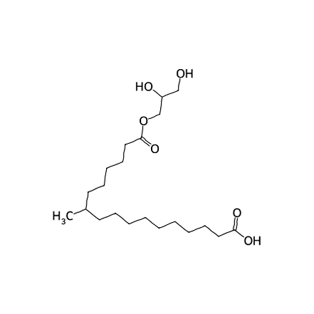 CC(CCCCCCCCCC(=O)O)CCCCCC(=O)OCC(O)CO